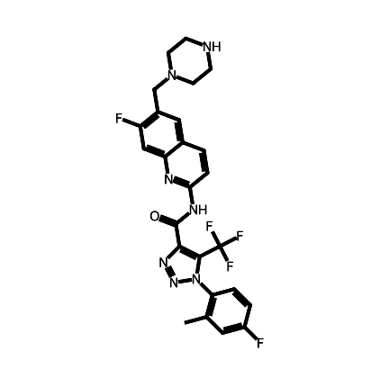 Cc1cc(F)ccc1-n1nnc(C(=O)Nc2ccc3cc(CN4CCNCC4)c(F)cc3n2)c1C(F)(F)F